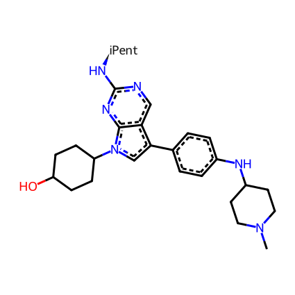 CCC[C@H](C)Nc1ncc2c(-c3ccc(NC4CCN(C)CC4)cc3)cn(C3CCC(O)CC3)c2n1